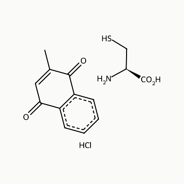 CC1=CC(=O)c2ccccc2C1=O.Cl.N[C@@H](CS)C(=O)O